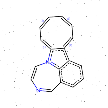 C1=Cn2c3/c(c4cccc(c42)C=N1)=C\C=C/C=C\C=3